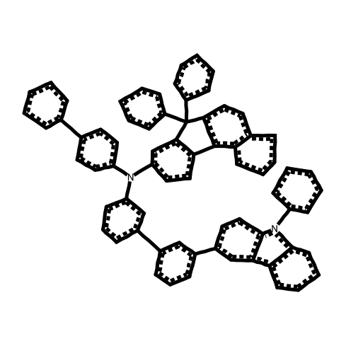 c1ccc(-c2ccc(N(c3cccc(-c4cccc(-c5ccc6c(c5)c5ccccc5n6-c5ccccc5)c4)c3)c3ccc4c(c3)C(c3ccccc3)(c3ccccc3)c3ccc5ccccc5c3-4)cc2)cc1